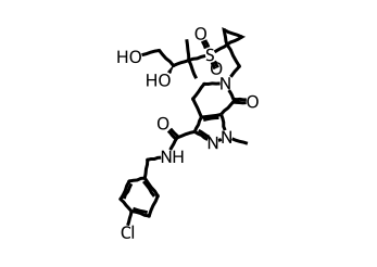 Cn1nc(C(=O)NCc2ccc(Cl)cc2)c2c1C(=O)N(CC1(S(=O)(=O)C(C)(C)[C@@H](O)CO)CC1)CC2